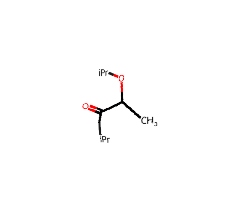 CC(C)OC(C)C(=O)C(C)C